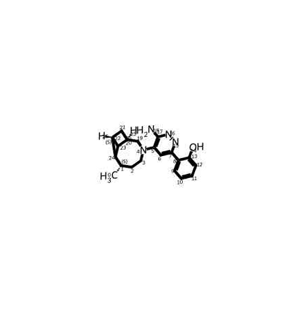 C[C@H]1CCN(c2cc(-c3ccccc3O)nnc2N)C[C@@H]2C[C@@H]3C2C31